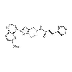 COc1ccc2nccc(-n3cc4c(n3)CCC(NC(=O)C=Cc3ccccn3)C4)c2n1